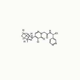 CCC(NC(=O)Cn1ncc(N[C@@H]2C[C@@H]3C[C@H]([C@H]2C)C3(C)C)c(Cl)c1=O)c1ccnnc1